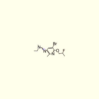 CCN(C)/C=N/c1cc(Br)c(OCC(C)F)nc1C